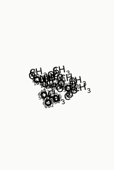 COC(=O)[C@H]1[C@H]2C[C@@H]3c4[nH]c5cc(OC)ccc5c4CCN3C[C@H]2C[C@@H](OC(=O)c2cc(OC)c(OC)c(OC)c2)[C@@H]1OC.ClC(c1ccccc1)(c1ccccc1)c1ccccc1